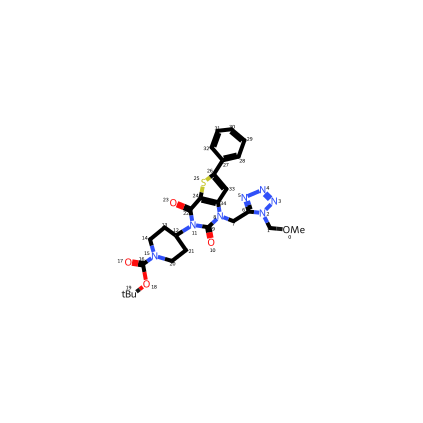 COCn1nnnc1Cn1c(=O)n(C2CCN(C(=O)OC(C)(C)C)CC2)c(=O)c2sc(-c3ccccc3)cc21